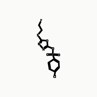 O=S(=O)(Oc1nnc(SCCF)o1)c1ccc(Cl)cc1